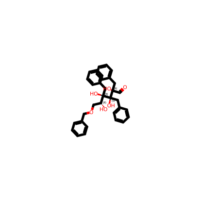 O=C[C@@](O)(Cc1ccccc1)[C@](O)(Cc1ccccc1)[C@@](O)(Cc1ccccc1)[C@H](O)COCc1ccccc1